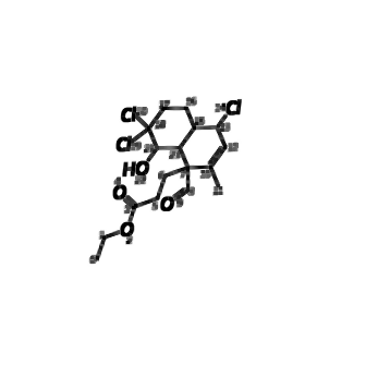 CCOC(=O)CCC1(C=O)C(C)=CC(Cl)C2CCC(Cl)(Cl)C(O)C21